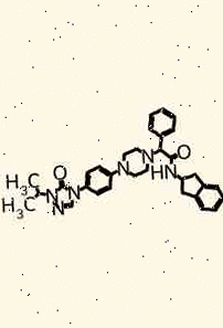 CC(C)n1ncn(-c2ccc(N3CCN(C(C(=O)NC4Cc5ccccc5C4)c4ccccc4)CC3)cc2)c1=O